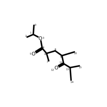 CC(C)OC(=O)C(C)CC(C)C(=O)C(C)C